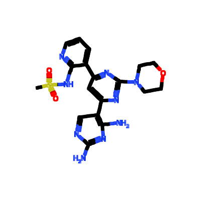 CS(=O)(=O)Nc1ncccc1-c1cc(-c2cnc(N)nc2N)nc(N2CCOCC2)n1